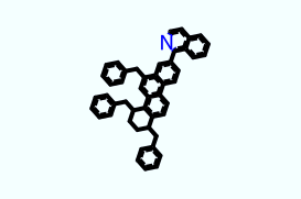 c1ccc(Cc2cc3c4c(ccc3c3ccc(-c5nccc6ccccc56)cc23)C(Cc2ccccc2)CCC4Cc2ccccc2)cc1